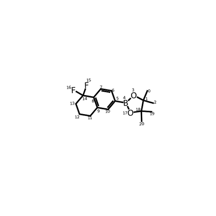 CC1(C)OB(c2ccc3c(c2)CCCC3(F)F)OC1(C)C